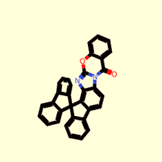 O=c1c2ccccc2oc2nc3c4c(ccc3n12)-c1ccccc1C41c2ccccc2-c2ccccc21